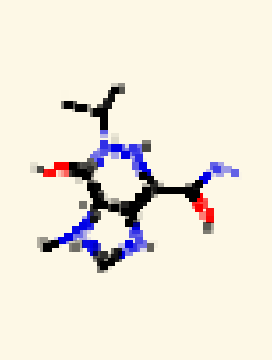 CC(C)n1nc(C(N)=O)c2ncn(C)c2c1=O